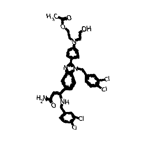 CC(=O)OCCN(CCO)c1ccc(-c2nc3cc(C(CC(N)=O)NCc4ccc(Cl)c(Cl)c4)ccc3n2Cc2ccc(Cl)c(Cl)c2)cc1